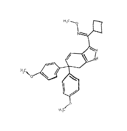 CON=C(c1n[nH]c2c1C=CC(c1ccc(OC)cc1)(c1ccc(OC)cc1)C2)C1CCC1